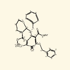 CCOC(=O)c1cn([C@@H](Cc2ccccc2)C2OCCCN2C(=O)OC(C)(C)C)c(C(=O)OC)c(OCc2ccccc2)c1=O